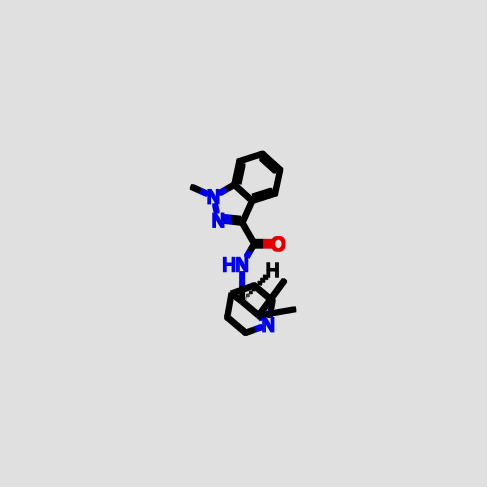 Cn1nc(C(=O)N[C@@H]2C3CCN(CC3)C2(C)C)c2ccccc21